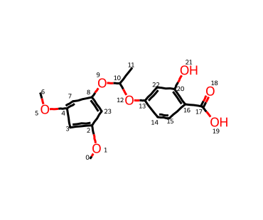 COc1cc(OC)cc(OC(C)Oc2ccc(C(=O)O)c(O)c2)c1